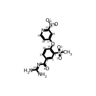 CS(=O)(=O)c1cc(C(=O)N=C(N)N)ccc1Oc1ccnc([N+](=O)[O-])c1